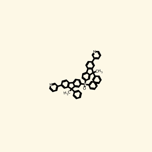 CC1(c2ccccc2)c2cc(-c3cccnc3)ccc2-c2ccc(P(=O)(c3ccccc3)c3ccc4c(c3)C(C)(c3ccccc3)c3cc(-c5cccnc5)ccc3-4)cc21